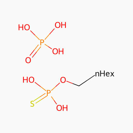 CCCCCCCOP(O)(O)=S.O=P(O)(O)O